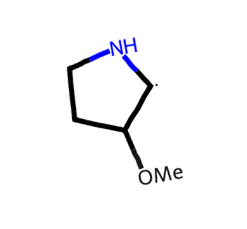 COC1[CH]NCC1